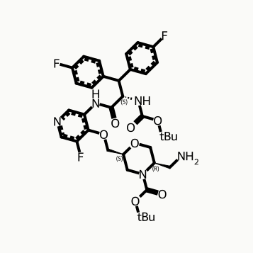 CC(C)(C)OC(=O)N[C@H](C(=O)Nc1cncc(F)c1OC[C@@H]1CN(C(=O)OC(C)(C)C)[C@H](CN)CO1)C(c1ccc(F)cc1)c1ccc(F)cc1